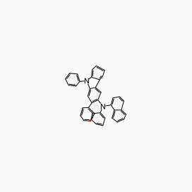 c1ccc(-c2cc3c(cc2N(c2ccccc2)c2cccc4ccccc24)c2ccccc2n3-c2ccccc2)cc1